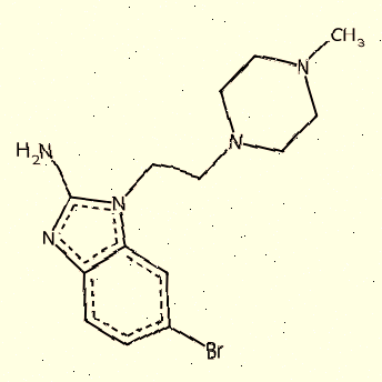 CN1CCN(CCn2c(N)nc3ccc(Br)cc32)CC1